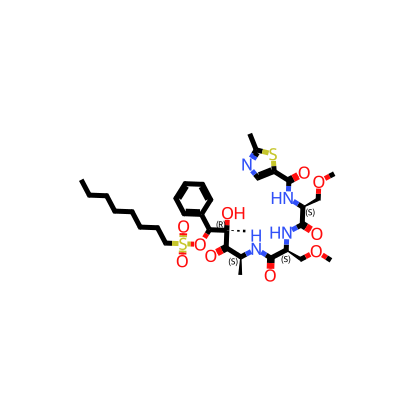 CCCCCCCCS(=O)(=O)OC(c1ccccc1)[C@@](C)(O)C(=O)[C@H](C)NC(=O)[C@H](COC)NC(=O)[C@H](COC)NC(=O)c1cnc(C)s1